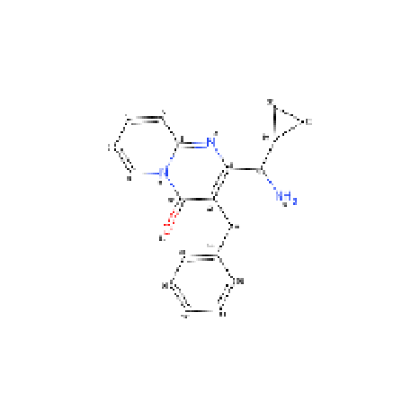 NC(c1nc2ccccn2c(=O)c1Cc1ccccc1)C1CC1